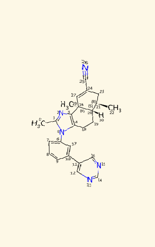 Cc1nc2c(n1-c1cccc(-c3cncnc3)c1)CC[C@H]1[C@H](C)CC(C#N)=C[C@]21C